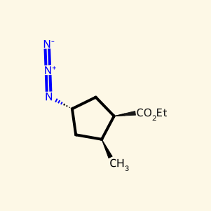 CCOC(=O)[C@@H]1C[C@@H](N=[N+]=[N-])C[C@@H]1C